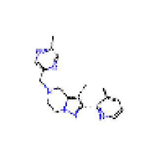 Cc1cnc(CN2CCn3nc(-c4ncccc4C)c(C)c3C2)cn1